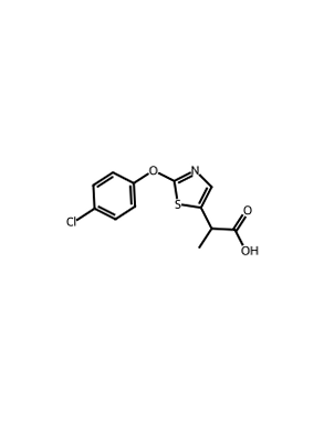 CC(C(=O)O)c1cnc(Oc2ccc(Cl)cc2)s1